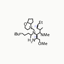 CC/C=C\C(C)C(NC)/C(=C(/N)COC)N(CN1CCOC2CCCC21)C(C)CCC[C@@H](C)CC